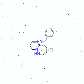 C1=CC2(NCc3ccccc3)CCCCNN2CC1.Cl